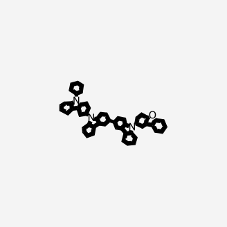 c1ccc(-n2c3ccccc3c3cc(-n4c5ccccc5c5cc(-c6ccc7c(c6)c6ccccc6n7-c6ccc7oc8ccccc8c7c6)ccc54)ccc32)cc1